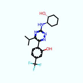 CC(C)c1nc(N[C@@H]2CCCC[C@H]2O)nnc1-c1ccc(C(F)(F)F)cc1O